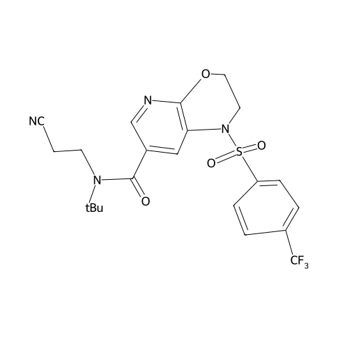 CC(C)(C)N(CCC#N)C(=O)c1cnc2c(c1)N(S(=O)(=O)c1ccc(C(F)(F)F)cc1)CCO2